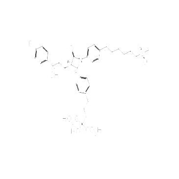 CS(=O)(=O)CCCCCCc1ccc(N2C(=O)[C@H](CC[C@H](O)c3ccc(F)cc3)[C@H]2c2ccc(CCCC(O)(C(=O)O)C(=O)O)cc2)cc1